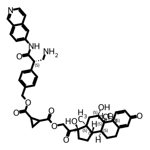 C[C@]12[C@@H](O)C[C@@]3(C)[C@@H](CC[C@]3(O)C(=O)COC(=O)C3CC3C(=O)OCc3ccc([C@@H](CN)C(=O)Nc4ccc5cnccc5c4)cc3)[C@@H]1CCC1=CC(=O)C=C[C@@]12C